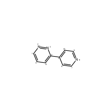 c1cnnc(-c2ccncc2)c1